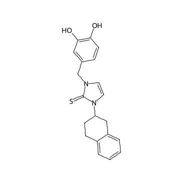 Oc1ccc(Cn2ccn(C3CCc4ccccc4C3)c2=S)cc1O